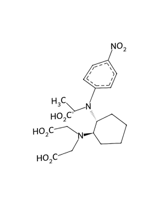 C[C@@H](C(=O)O)N(c1ccc([N+](=O)[O-])cc1)[C@@H]1CCCC[C@H]1N(CC(=O)O)CC(=O)O